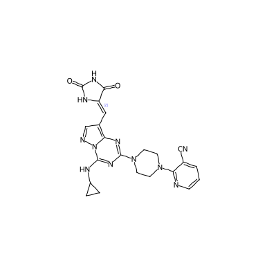 N#Cc1cccnc1N1CCN(c2nc(NC3CC3)n3ncc(/C=C4\NC(=O)NC4=O)c3n2)CC1